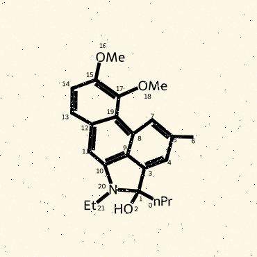 CCCC1(O)c2cc(C)cc3c2c(cc2ccc(OC)c(OC)c23)N1CC